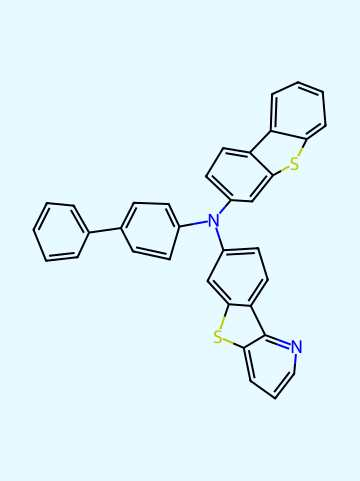 c1ccc(-c2ccc(N(c3ccc4c(c3)sc3ccccc34)c3ccc4c(c3)sc3cccnc34)cc2)cc1